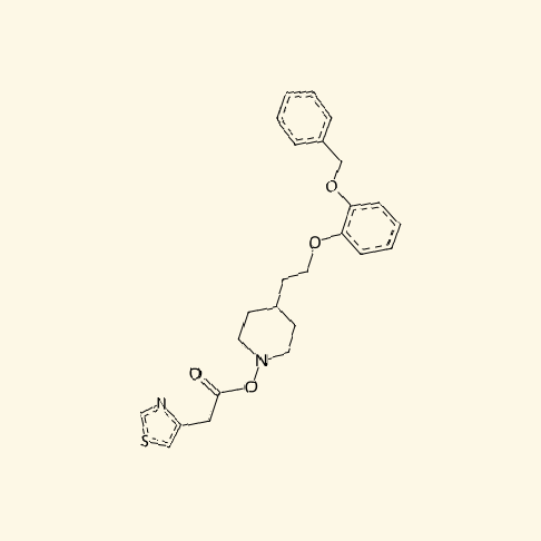 O=C(Cc1cscn1)ON1CCC(CCOc2ccccc2OCc2ccccc2)CC1